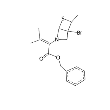 CC(C)=C(C(=O)OCc1ccccc1)N1CC2(Br)C(C)SC12